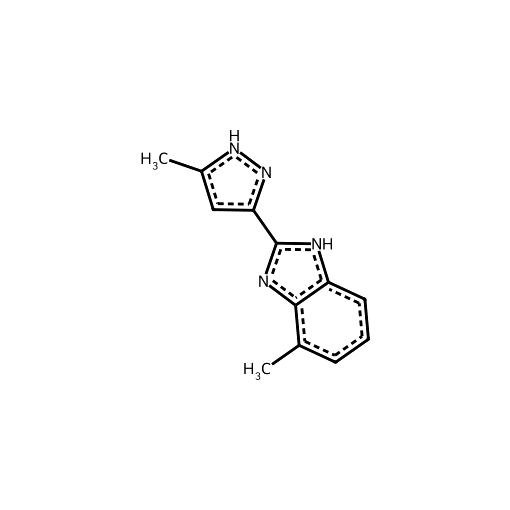 Cc1cc(-c2nc3c(C)cccc3[nH]2)n[nH]1